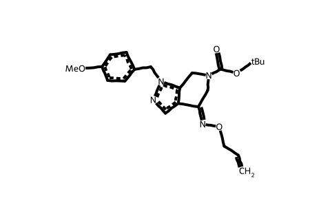 C=CCO/N=C1\CN(C(=O)OC(C)(C)C)Cc2c1cnn2Cc1ccc(OC)cc1